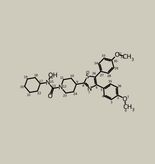 COc1ccc(-c2nc(C3CCN(C(=O)N(O)C4CCCCC4)CC3)sc2-c2ccc(OC)cc2)cc1